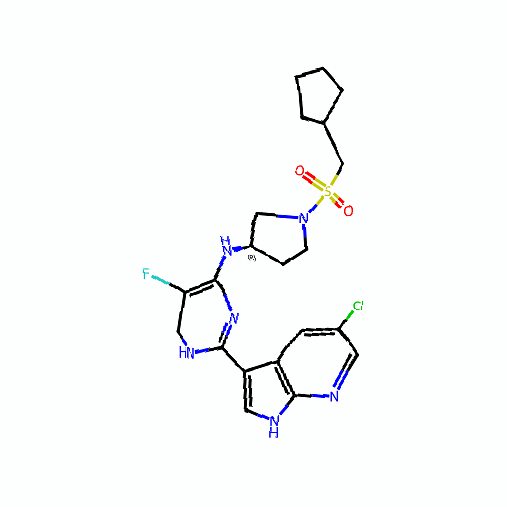 O=S(=O)(CC1CCCC1)N1CC[C@@H](NC2=C(F)CNC(c3c[nH]c4ncc(Cl)cc34)=N2)C1